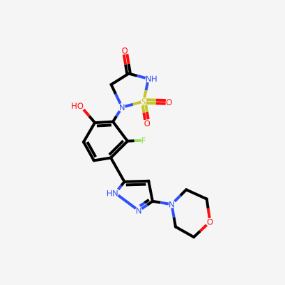 O=C1CN(c2c(O)ccc(-c3cc(N4CCOCC4)n[nH]3)c2F)S(=O)(=O)N1